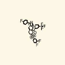 O=C(c1cc(C(F)(F)F)ccn1)[C@]12Cc3cnn(-c4ccc(F)cc4)c3C=C1CC[C@@H](S(=O)(=O)c1ccc(F)c(F)c1)C2